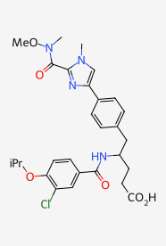 CON(C)C(=O)c1nc(-c2ccc(CC(CCC(=O)O)NC(=O)c3ccc(OC(C)C)c(Cl)c3)cc2)cn1C